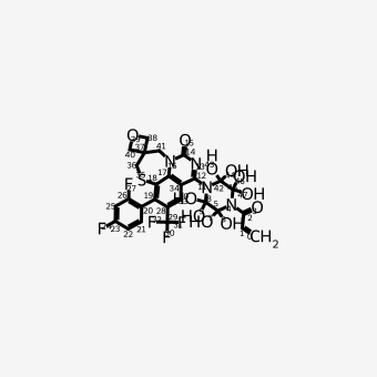 C=CC(=O)N1C(O)(O)C(O)(O)N(c2nc(=O)n3c4c(c(-c5ccc(F)cc5F)c(C(F)(F)F)cc24)SCC2(COC2)C3)C(O)(O)C1(O)O